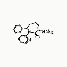 CNC1CCCC(c2ccccc2)N(c2ccccn2)C1=O